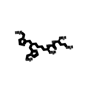 O=C(O)CC[C@H](NC(=O)N[C@H](CCCCN(Cc1nccn1CC(=O)O)Cc1nccn1CC(=O)O)C(=O)O)C(=O)O